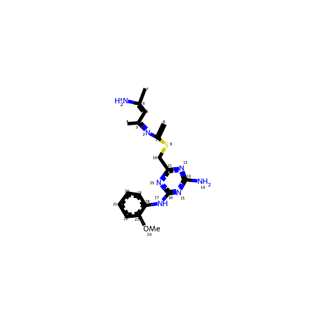 C=C(/N=C(C)\C=C(\C)N)SCc1nc(N)nc(Nc2ccccc2OC)n1